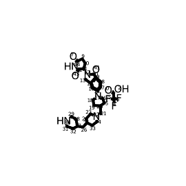 O=C(O)C(F)(F)F.O=C1CCC(N2Cc3cc(N4CCC(CN5CCC(CC6CCNCC6)CC5)CC4)ccc3C2=O)C(=O)N1